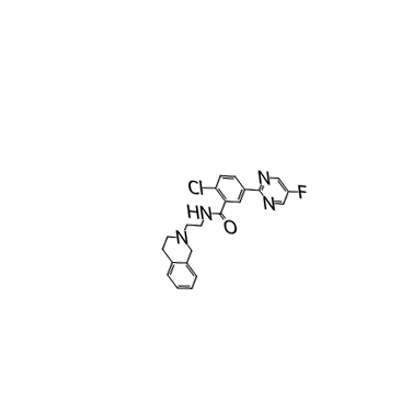 O=C(NCCN1CCc2ccccc2C1)c1cc(-c2ncc(F)cn2)ccc1Cl